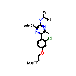 CCC(CC)Nc1nc(C)c(-c2ccc(OCCOC)cc2Cl)nc1OC